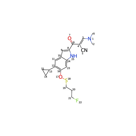 CN(C)/C=C(\C#N)C(=O)c1cc2cc(C3CC3)c(OSCCCF)cc2[nH]1